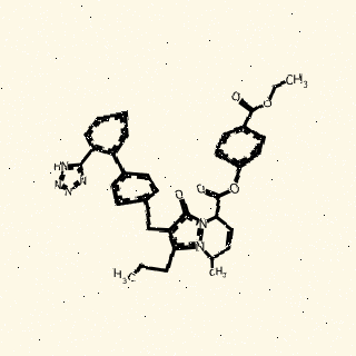 CCCc1c(Cc2ccc(-c3ccccc3-c3nnn[nH]3)cc2)c(=O)n2n1C(C)C=CC2C(=O)Oc1ccc(C(=O)OCC)cc1